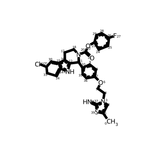 Cc1cn(CCOc2ccc(C3c4[nH]c5c(c4CCN3C(=O)Oc3ccc(F)cc3)=CC(Cl)CC=5)cc2)c(=N)s1